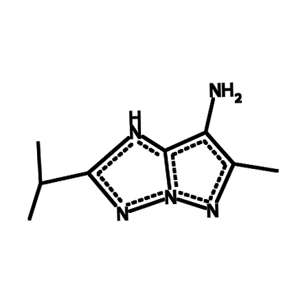 Cc1nn2nc(C(C)C)[nH]c2c1N